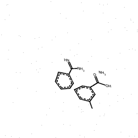 Cc1cccc(C(=O)O)c1.N.N=C(N)c1ccccc1